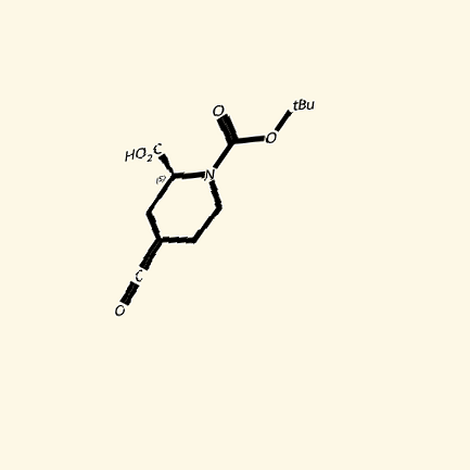 CC(C)(C)OC(=O)N1CCC(=C=O)C[C@H]1C(=O)O